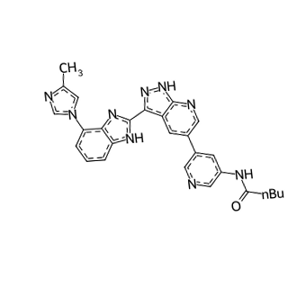 CCCCC(=O)Nc1cncc(-c2cnc3[nH]nc(-c4nc5c(-n6cnc(C)c6)cccc5[nH]4)c3c2)c1